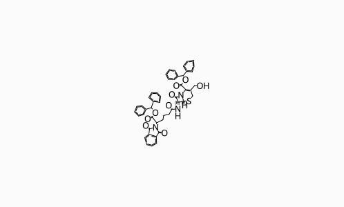 O=C(CCCC(C(=O)OC(c1ccccc1)c1ccccc1)N1C(=O)c2ccccc2C1=O)N[C@@H]1C(=O)N2C(C(=O)OC(c3ccccc3)c3ccccc3)=C(CO)CS[C@H]12